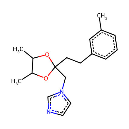 Cc1cccc(CCC2(Cn3ccnc3)OC(C)C(C)O2)c1